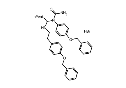 Br.CCCCCC(NCCc1ccc(OCc2ccccc2)cc1)N(C(N)=O)c1ccc(OCc2ccccc2)cc1